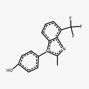 Cc1nc2c(C(F)(F)F)cccc2n1-c1ccc(O)cc1